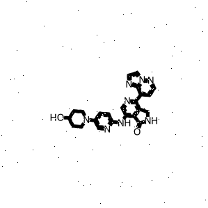 O=C1NCc2c(-c3ccnn4ccnc34)ncc(Nc3ccc(N4CCC(O)CC4)cn3)c21